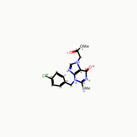 COC(=O)Cn1cnc2c1c(=O)nc(SC)n2Cc1ccc(Cl)cc1